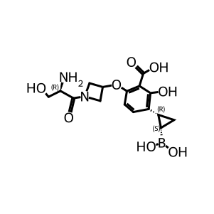 N[C@H](CO)C(=O)N1CC(Oc2ccc([C@@H]3C[C@@H]3B(O)O)c(O)c2C(=O)O)C1